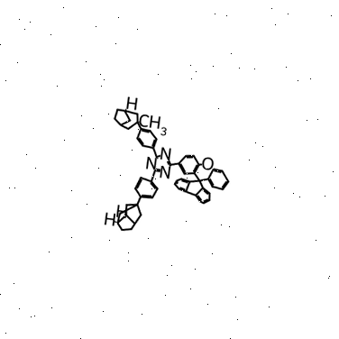 CC1(c2ccc(-c3nc(-c4ccc(C56CC7CC[C@@H](C5)[C@H]7C6)cc4)nc(-c4ccc5c(c4)C4(c6ccccc6O5)c5ccccc5-c5ccccc54)n3)cc2)CC2CC[C@H](C2)C1